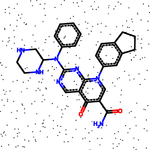 NC(=O)c1cn(-c2ccc3c(c2)CCC3)c2nc(N(c3ccccc3)C3CNCCN3)ncc2c1=O